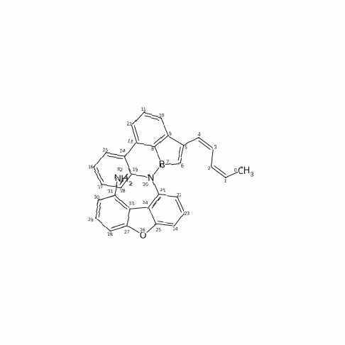 C/C=C\C=C/C1=CB2c3c1cccc3-c1ccccc1N2c1cccc2oc3cccc(N)c3c12